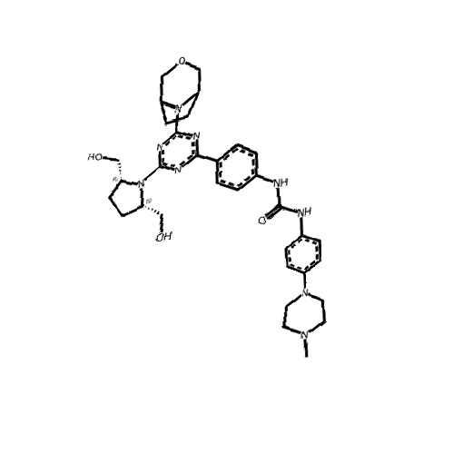 CN1CCN(c2ccc(NC(=O)Nc3ccc(-c4nc(N5C6CCC5COC6)nc(N5[C@H](CO)CC[C@@H]5CO)n4)cc3)cc2)CC1